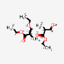 CCO/C=C(/C)C(=O)OCC.CCOC(=O)C(C)C=O